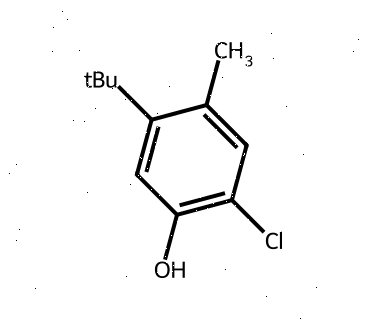 Cc1cc(Cl)c(O)cc1C(C)(C)C